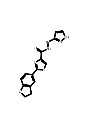 O=C(NNc1cc[nH]n1)c1csc(-c2ccc3c(c2)CCO3)n1